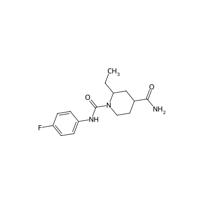 CCC1CC(C(N)=O)CCN1C(=O)Nc1ccc(F)cc1